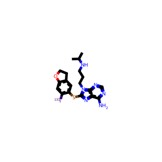 CC(C)NCCCn1c(Sc2cc3c(cc2[131I])OCC3)nc2c(N)ncnc21